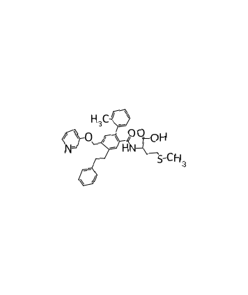 CSCCC(NC(=O)c1cc(CCc2ccccc2)c(COc2cccnc2)cc1-c1ccccc1C)C(=O)O